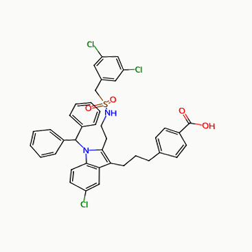 O=C(O)c1ccc(CCCc2c(CCNS(=O)(=O)Cc3cc(Cl)cc(Cl)c3)n(C(c3ccccc3)c3ccccc3)c3ccc(Cl)cc23)cc1